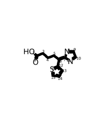 O=C(O)CCCC(=C1N=CC=N1)c1cccs1